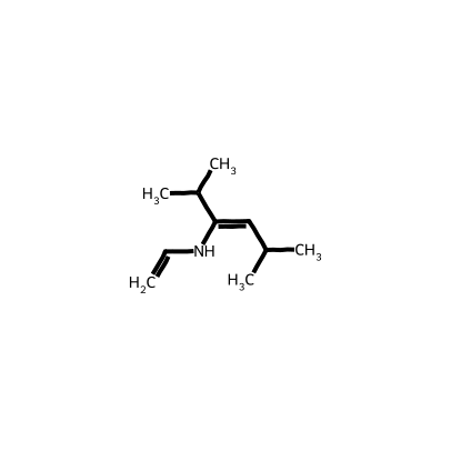 C=CN/C(=C\C(C)C)C(C)C